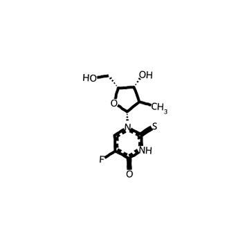 CC1[C@@H](O)[C@@H](CO)O[C@H]1n1cc(F)c(=O)[nH]c1=S